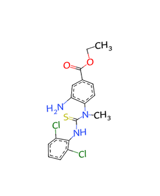 CCOC(=O)c1ccc(N(C)C(=S)Nc2c(Cl)cccc2Cl)c(N)c1